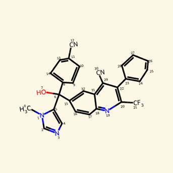 Cn1cncc1C(O)(c1ccc(C#N)cc1)c1ccc2nc(C(F)(F)F)c(-c3ccccc3)c(C#N)c2c1